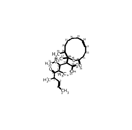 CC=CC(C)C(=O)C(C)C(OC)C(C(=O)O)C1(C)OC(=O)CCC=CCCCCC1C